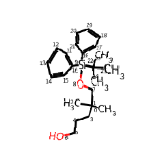 CC(C)(CCCO)CO[Si](c1ccccc1)(c1ccccc1)C(C)(C)C